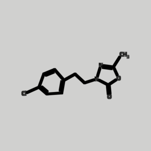 Cc1nn(CCc2ccc(Cl)cc2)c(=O)o1